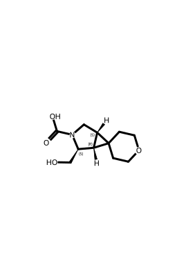 O=C(O)N1C[C@H]2[C@@H]([C@H]1CO)C21CCOCC1